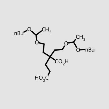 CCCCOC(C)OCCC(CCOC(C)OCCCC)(CCC(=O)O)C(=O)O